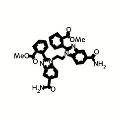 COC(=O)c1ccccc1-c1nc2cc(C(N)=O)ccc2n1CCn1c(-c2ccccc2C(=O)OC)nc2cc(C(N)=O)ccc21